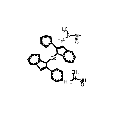 C1=C(c2ccccc2)[CH]([Gd][CH]2C(c3ccccc3)=Cc3ccccc32)c2ccccc21.CN(C)[SiH]=O.CN(C)[SiH]=O